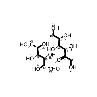 O=C(CO)[C@@H](O)[C@H](O)[C@H](O)CO.O=C[C@H](O)[C@@H](O)[C@H](O)[C@H](O)C(=O)O